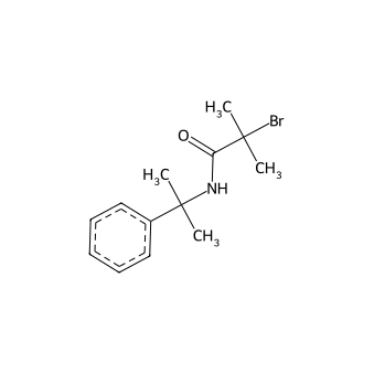 CC(C)(Br)C(=O)NC(C)(C)c1ccccc1